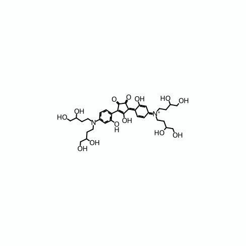 O=C1C(=O)/C(=C2/C=CC(=[N+](CCC(O)CO)CCC(O)CO)C=C2O)C(O)=C1c1ccc(N(CCC(O)CO)CCC(O)CO)cc1O